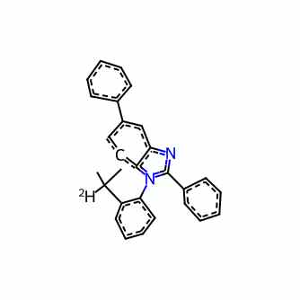 [2H]C(C)(C)c1ccccc1-n1c(-c2ccccc2)nc2cc(-c3ccccc3)ccc21